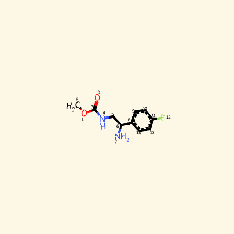 COC(=O)NCC(N)c1ccc(F)cc1